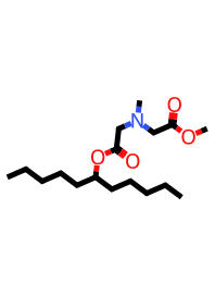 CCCCCC(CCCCC)OC(=O)CN(C)CC(=O)OC